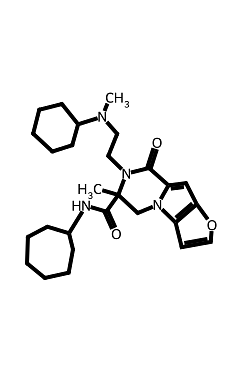 CN(CCN1C(=O)c2cc3occc3n2CC1(C)C(=O)NC1CCCCCC1)C1CCCCC1